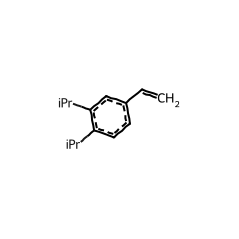 C=Cc1ccc(C(C)C)c(C(C)C)c1